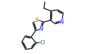 CCc1ccncc1-c1nc(-c2ccccc2Cl)cs1